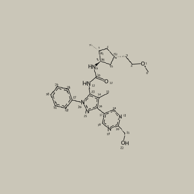 COCC[C@H]1C[C@@H](C)[C@H](NC(=O)Nc2c(C)c(-c3cnc(CO)nc3)nn2-c2ccccc2)C1